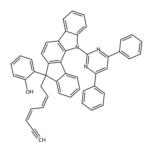 C#C/C=C\C=C/CC1(c2ccccc2O)c2ccccc2-c2c1ccc1c3ccccc3n(-c3nc(-c4ccccc4)cc(-c4ccccc4)n3)c21